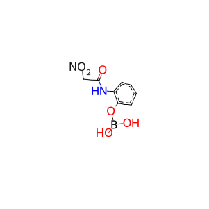 O=C(C[N+](=O)[O-])Nc1ccccc1OB(O)O